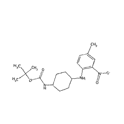 Cc1ccc(NC2CCC(NC(=O)OC(C)(C)C)CC2)c([N+](=O)[O-])c1